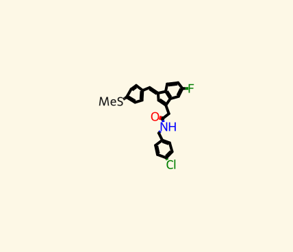 CSc1ccc(/C=C2\C=C(CC(=O)NCc3ccc(Cl)cc3)c3cc(F)ccc32)cc1